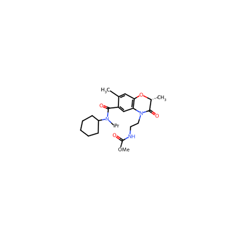 COC(=O)NCCN1C(=O)[C@@H](C)Oc2cc(C)c(C(=O)N(C(C)C)C3CCCCC3)cc21